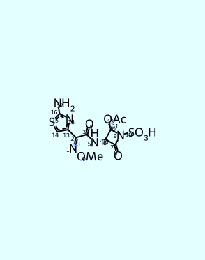 CO/N=C(\C(=O)N[C@H]1C(=O)N(S(=O)(=O)O)[C@@H]1OC(C)=O)c1csc(N)n1